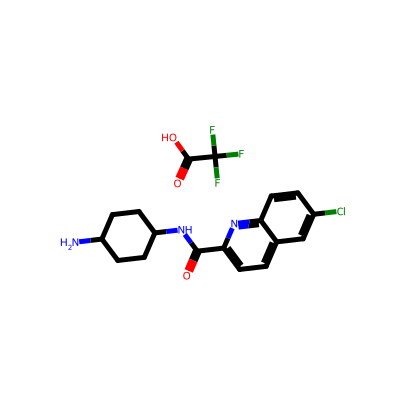 NC1CCC(NC(=O)c2ccc3cc(Cl)ccc3n2)CC1.O=C(O)C(F)(F)F